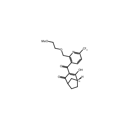 COCCOCc1nc(C(F)(F)F)ccc1C(=O)C1=C(O)[C@@H]2CCC(C2)C1=O